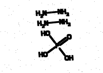 NN.NN.O=P(O)(O)O